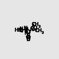 CC1CN(c2cc(N3CC4CCC(C3)O4)nn3c(-c4cc[nH]n4)ncc23)CC(C)O1